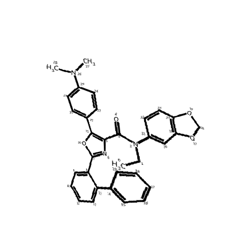 CCN(C(=O)c1nc(-c2ccccc2-c2ccccc2)oc1-c1ccc(N(C)C)cc1)c1ccc2c(c1)OCO2